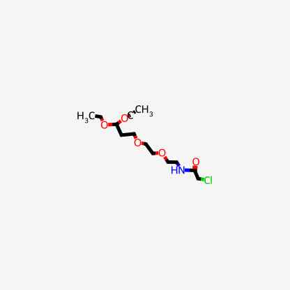 CCOC(CCOCCOCCNC(=O)CCl)OCC